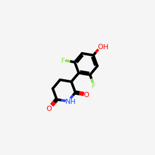 O=C1CCC(c2c(F)cc(O)cc2F)C(=O)N1